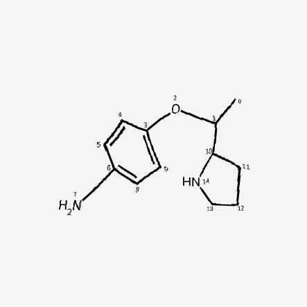 CC(Oc1ccc(N)cc1)C1CCCN1